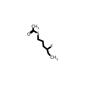 CCC(F)CCCSC(C)=O